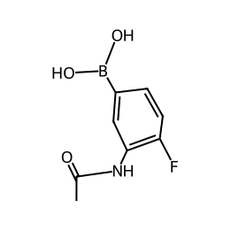 CC(=O)Nc1cc(B(O)O)ccc1F